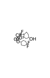 CS(=O)(=O)OC1CCC(F)(F)CC1.OC1CCC(F)(F)CC1